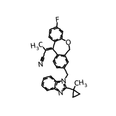 CC(C#N)=C1c2ccc(Cn3c(C4(C)CC4)nc4ccccc43)cc2COc2cc(F)ccc21